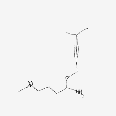 CNCCCC(N)OCC#CC(C)C